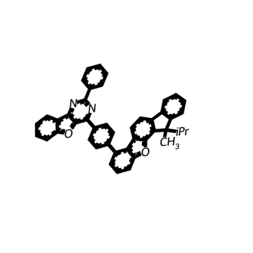 CC(C)C1(C)c2ccccc2-c2ccc3c(oc4cccc(-c5ccc(-c6nc(-c7ccccc7)nc7c6oc6ccccc67)cc5)c43)c21